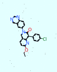 CCOc1ccc2cn(-c3ccc4ncncc4c3)c(=O)c(-c3ccc(Cl)cc3)c2n1